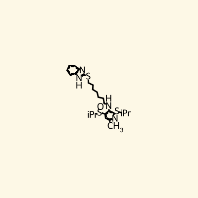 Cc1cc(SC(C)C)c(NC(=O)CCCCCCSc2nc3ccccc3[nH]2)c(SC(C)C)n1